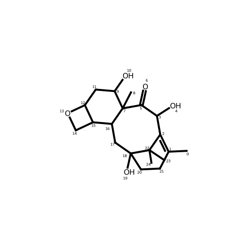 CC1=C2C(O)C(=O)C3(C)C(O)CC4OCC4C3CC(O)(CC1)C2(C)C